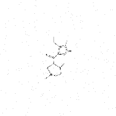 CCc1c(C)[nH]c2c1C(=S)C1CN(C)CCC1C2